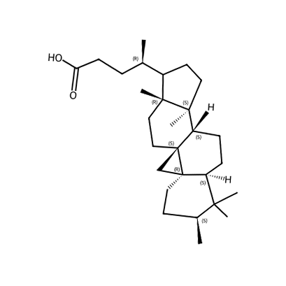 C[C@H](CCC(=O)O)C1CC[C@@]2(C)[C@@H]3CC[C@H]4C(C)(C)[C@@H](C)CC[C@@]45C[C@@]35CC[C@]12C